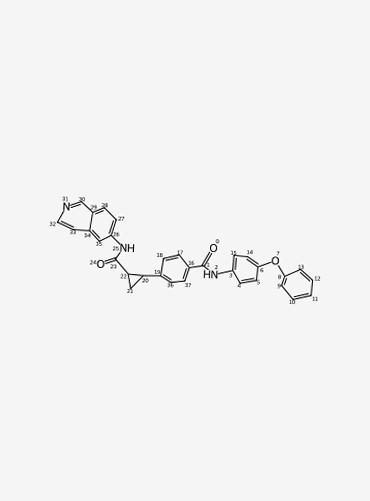 O=C(Nc1ccc(Oc2ccccc2)cc1)c1ccc(C2CC2C(=O)Nc2ccc3cnccc3c2)cc1